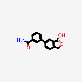 NC(=O)c1cccc(-c2ccc3c(c2)B(O)OC3)c1